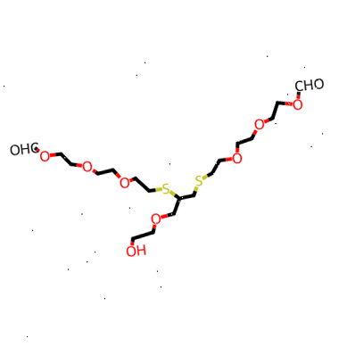 O=COCCOCCOCCSCC(COCCO)SCCOCCOCCOC=O